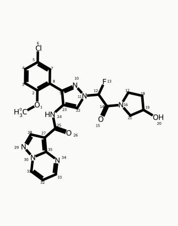 COc1ccc(Cl)cc1-c1nn(C(F)C(=O)N2CCC(O)C2)cc1NC(=O)c1cnn2cccnc12